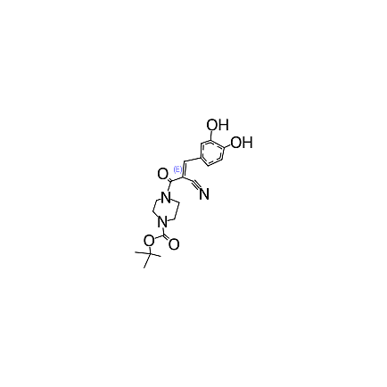 CC(C)(C)OC(=O)N1CCN(C(=O)/C(C#N)=C/c2ccc(O)c(O)c2)CC1